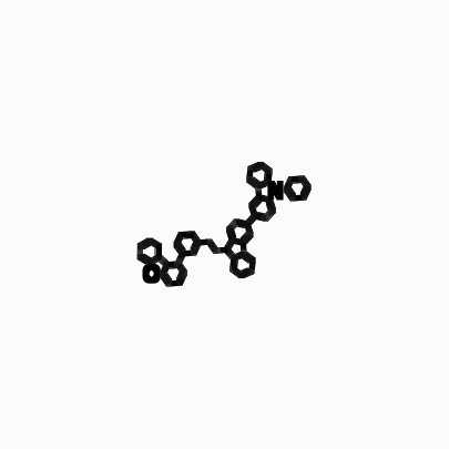 c1ccc(-n2c3ccccc3c3cc(-c4ccc5c(c4)-c4ccccc4C5CCc4cccc(-c5cccc6oc7ccccc7c56)c4)ccc32)cc1